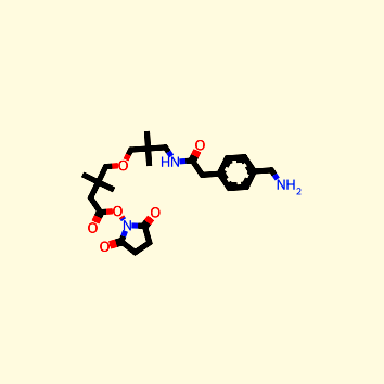 CC(C)(CNC(=O)Cc1ccc(CN)cc1)COCC(C)(C)CC(=O)ON1C(=O)CCC1=O